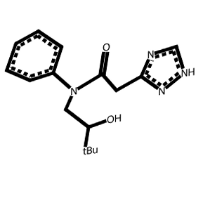 CC(C)(C)C(O)CN(C(=O)Cc1nc[nH]n1)c1ccccc1